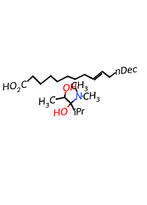 CC(C)C(O)(C(C)O)N(C)C.CCCCCCCCCCCC=CCCCCCCCC(=O)O